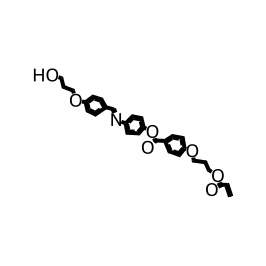 C=CC(=O)OCCCOc1ccc(C(=O)Oc2ccc(N=Cc3ccc(OCCCO)cc3)cc2)cc1